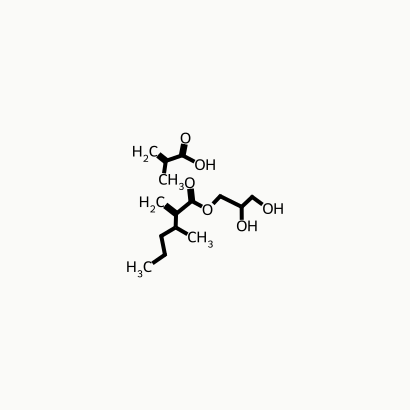 C=C(C(=O)OCC(O)CO)C(C)CCC.C=C(C)C(=O)O